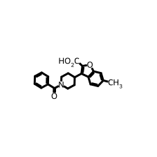 Cc1ccc2c(C3CCN(C(=O)c4ccccc4)CC3)c(C(=O)O)oc2c1